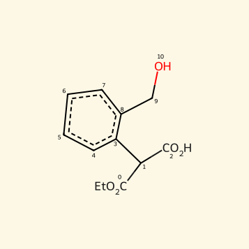 CCOC(=O)C(C(=O)O)c1ccccc1CO